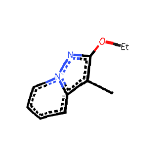 CCOc1nn2ccccc2c1C